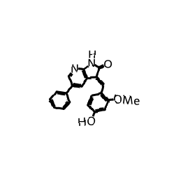 COc1cc(O)ccc1C=C1C(=O)Nc2ncc(-c3ccccc3)cc21